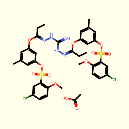 CC(=O)O.CCC(=NNC(=N)NN=C(CC)Oc1cc(C)cc(OS(=O)(=O)c2cc(Cl)ccc2OC)c1)Oc1cc(C)cc(OS(=O)(=O)c2cc(Cl)ccc2OC)c1